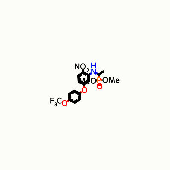 COP(=O)(OC)C(C)Nc1cc(Oc2ccc(OC(F)(F)F)cc2)ccc1[N+](=O)[O-]